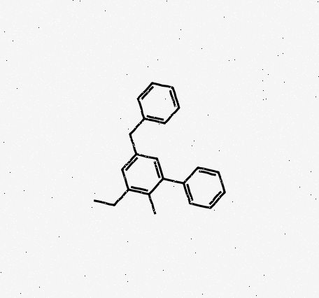 CCc1cc(Cc2ccccc2)cc(-c2ccccc2)c1C